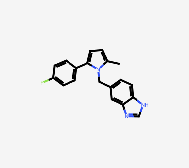 Cc1[c]cc(-c2ccc(F)cc2)n1Cc1ccc2[nH]cnc2c1